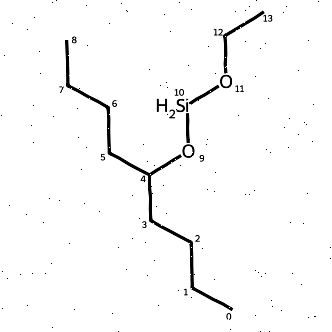 CCCCC(CCCC)O[SiH2]OCC